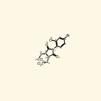 O=c1n(-c2ccc(Br)cc2Cl)c(=O)n(SC(Cl)(Cl)Cl)n1SC(Cl)(Cl)Cl